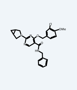 COc1ccc(COc2nc(N3CC4CC4C3)ncc2C(=O)NCc2ccccc2)cc1Cl